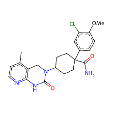 COc1ccc(C2(C(N)=O)CCC(N3Cc4c(C)ccnc4NC3=O)CC2)cc1Cl